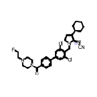 N#C/N=C1/C(C2CCCCC2)CCN1Cc1c(Cl)cc(-c2ccc(C(=O)N3CCN(CCF)CC3)cc2)cc1Cl